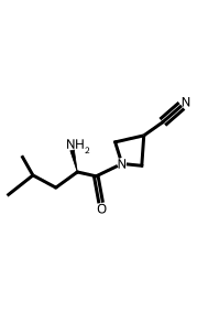 CC(C)C[C@@H](N)C(=O)N1CC(C#N)C1